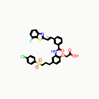 O=C(O)COc1ccc(CCCS(=O)(=O)c2ccc(Cl)cc2)cc1NC(=O)c1cccc(/C=C/c2nc3cccc(F)c3s2)c1